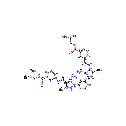 CCCCC(CC)COC(=O)c1cccc(/N=N/c2c(C(C)(C)C)nn(-c3cc(-n4nc(C(C)(C)C)c(/N=N/c5cccc(C(=O)OCC(CC)CCCC)c5)c4N)ncn3)c2N)c1